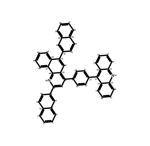 c1ccc2cc(-c3cc(-c4ccc(-c5c6ccccc6nc6ccccc56)cc4)c4cc(-c5ccc6ccccc6c5)c5ccccc5c4n3)ccc2c1